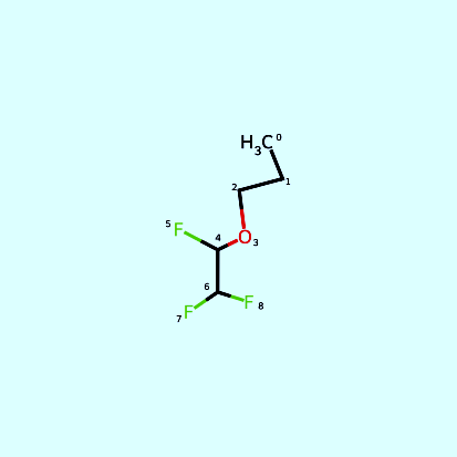 CCCOC(F)C(F)F